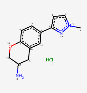 Cl.Cn1ccc(-c2ccc3c(c2)CC(N)CO3)n1